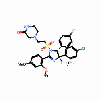 CCOC(=O)[C@@]1(c2ccc(Cl)cc2)N=C(c2ccc(OC)cc2OC(C)C)N(S(=O)(=O)CCN2CCNC(=O)C2)[C@@H]1c1ccc(Cl)cc1